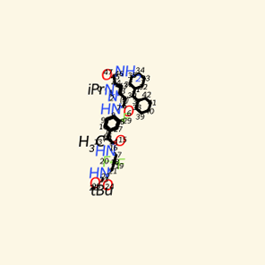 CC(C)n1nc([C@@H](C(=O)Nc2ccc([C@H](C)C(=O)NCC(F)(F)CNC(=O)OC(C)(C)C)cc2F)C(C2CCCCC2)C2CCCCC2)cc1C(N)=O